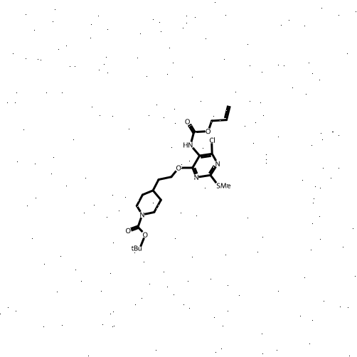 C=CCOC(=O)Nc1c(Cl)nc(SC)nc1OCCC1CCN(C(=O)OC(C)(C)C)CC1